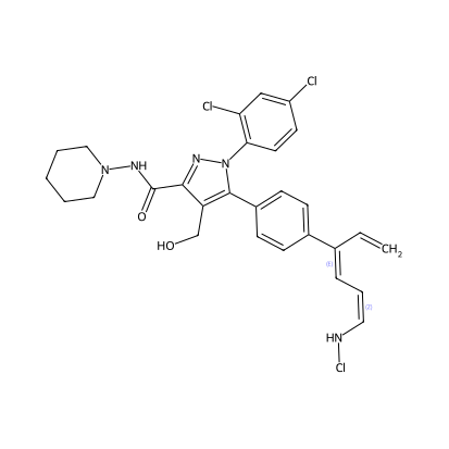 C=C/C(=C\C=C/NCl)c1ccc(-c2c(CO)c(C(=O)NN3CCCCC3)nn2-c2ccc(Cl)cc2Cl)cc1